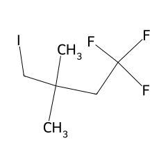 CC(C)(CI)CC(F)(F)F